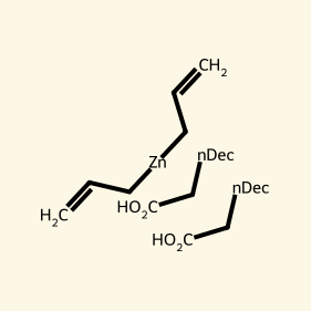 C=C[CH2][Zn][CH2]C=C.CCCCCCCCCCCC(=O)O.CCCCCCCCCCCC(=O)O